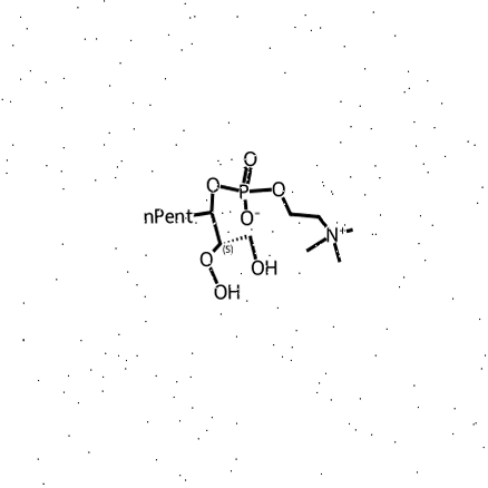 CCCCCC(OP(=O)([O-])OCC[N+](C)(C)C)[C@H](CO)OO